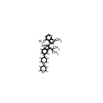 Cc1ccnc2c1c(-c1[nH]c3ccc(C4CCN(C5CCOCC5)CC4)cc3c1C(C)C)cn2C